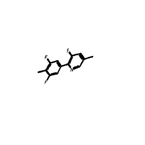 Cc1cnc(-c2cc(F)c(C)c(F)c2)c(F)c1